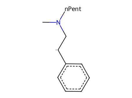 CCCCCN(C)C[CH]c1ccccc1